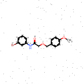 COc1ccc(COCC(=O)Nc2cccc(Br)c2)cc1